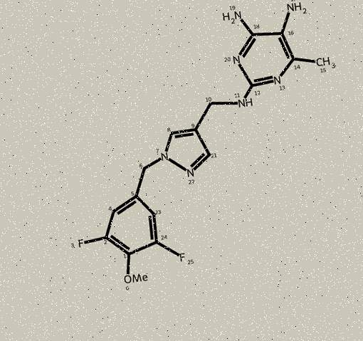 COc1c(F)cc(Cn2cc(CNc3nc(C)c(N)c(N)n3)cn2)cc1F